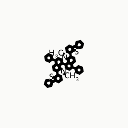 CCn1c2cc(-c3ccccc3)c3ccc(-c4cccc5c4sc4ccccc45)c4c3c2-c2c3c(ccc(-c5cccc6c5sc5ccccc56)c31)c(-c1ccccc1)cc2n4CC